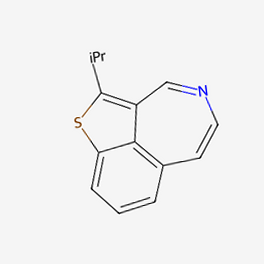 CC(C)c1sc2cccc3c2c1C=NC=C3